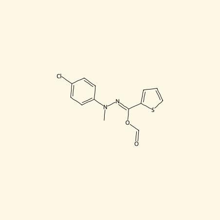 CN(/N=C(\OC=O)c1cccs1)c1ccc(Cl)cc1